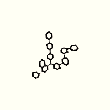 c1ccc(-c2ccc(-c3ccc(C(c4cccc(-c5cccc(-c6cccc7c6oc6ccccc67)c5)c4)c4ccc(-c5ccccc5)c5ccccc45)cc3)cc2)cc1